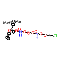 COc1ccc(CC[C@H](Oc2ccc(C34CC5CC(CC(C5)C3)C4)cc2)c2cccc(OCC(=O)NCCOCCOCCOCC(=O)NCCOCCOCCCCCCCl)c2)cc1OC